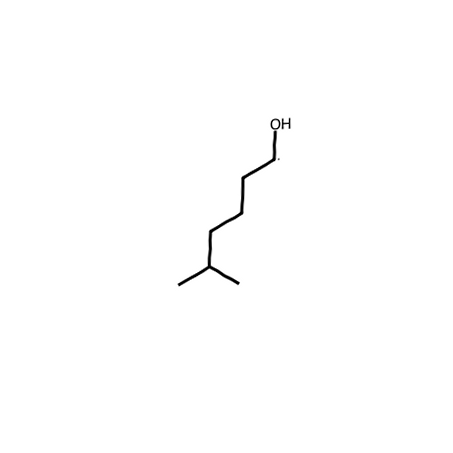 CC(C)CCC[CH]O